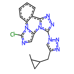 CC1CC1Cc1cn(-c2nnc3c4ccccc4n4c(Cl)ncc4n23)nn1